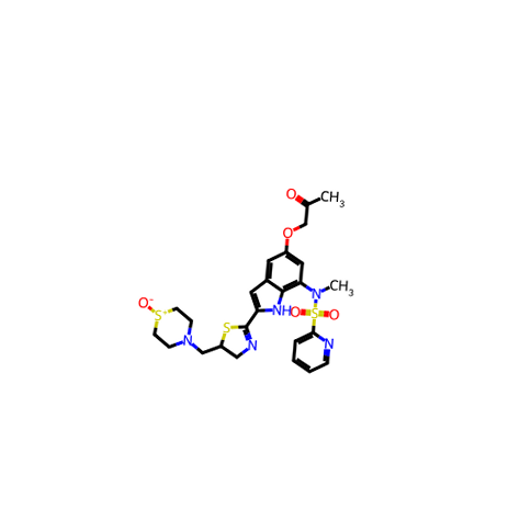 CC(=O)COc1cc(N(C)S(=O)(=O)c2ccccn2)c2[nH]c(C3=NCC(CN4CC[S+]([O-])CC4)S3)cc2c1